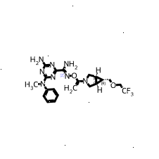 C=C(O/N=C(\N)c1nc(N)nc(N(C)c2ccccc2)n1)N1C[C@@H]2[C@@H](COCC(F)(F)F)[C@@H]2C1